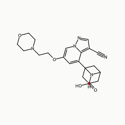 N#Cc1cnn2cc(OCCN3CCOCC3)cc(C34CNCC(C3)N4C(=O)O)c12